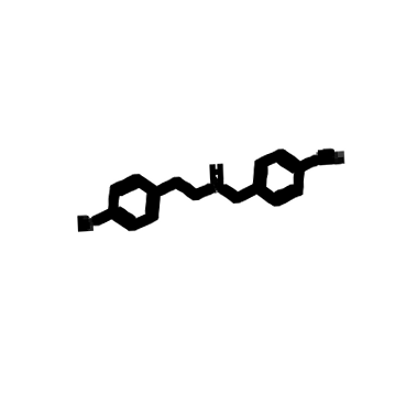 CC(C)(C)c1ccc(CNCCc2ccc(Br)cc2)cc1